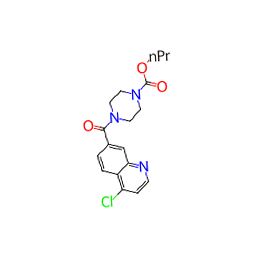 CCCOC(=O)N1CCN(C(=O)c2ccc3c(Cl)ccnc3c2)CC1